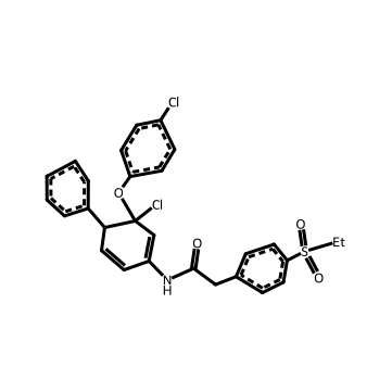 CCS(=O)(=O)c1ccc(CC(=O)NC2=CC(Cl)(Oc3ccc(Cl)cc3)C(c3ccccc3)C=C2)cc1